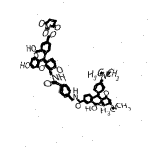 CN(C)c1ccc2c(-c3ccc(C(=O)NCc4ccc(C(=O)NCc5c6oc7cc(O)ccc7c(-c7ccc(C(=O)ON8C(=O)CCC8=O)cc7C(=O)O)c-6ccc5=O)cc4)cc3C(=O)O)c3ccc(=[N+](C)C)cc-3oc2c1